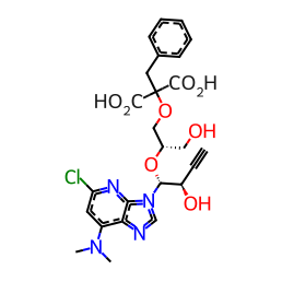 C#C[C@@H](O)[C@@H](O[C@@H](CO)COC(Cc1ccccc1)(C(=O)O)C(=O)O)n1cnc2c(N(C)C)cc(Cl)nc21